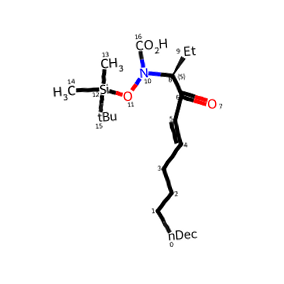 CCCCCCCCCCCCCC=CC(=O)[C@H](CC)N(O[Si](C)(C)C(C)(C)C)C(=O)O